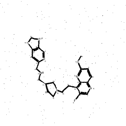 COc1ccc2ncc(F)c(CCN3CC[C@@H](CNCc4cc5c(cn4)OCS5)C3)c2n1